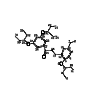 CCc1ccc(OC(CC)CC)c(CCC(=O)c2cc(OC(CC)CC)cc(OC(CC)CC)c2)c1